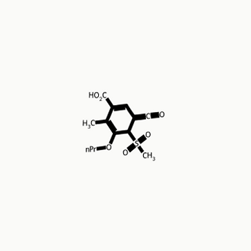 CCCOC1=C(C)C(C(=O)O)=CC(=C=O)C1S(C)(=O)=O